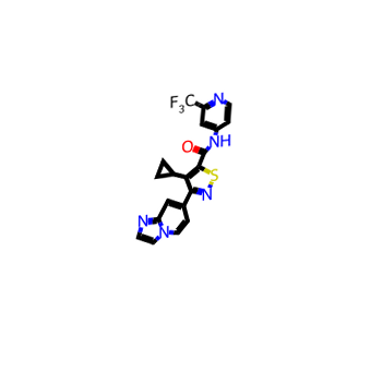 O=C(Nc1ccnc(C(F)(F)F)c1)c1snc(-c2ccn3ccnc3c2)c1C1CC1